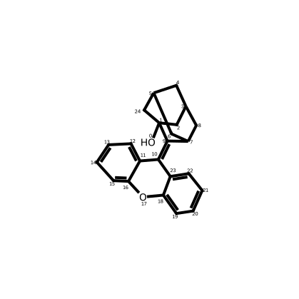 OC12CC3CC(CC(C3)C1=C1c3ccccc3Oc3ccccc31)C2